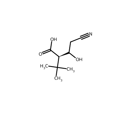 CC(C)(C)[C@@H](C(=O)O)C(O)CC#N